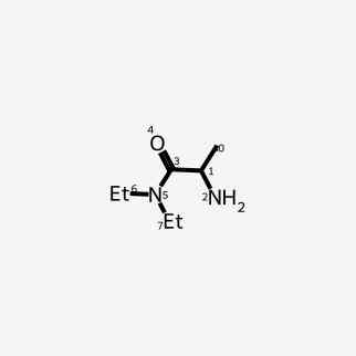 [CH2]C(N)C(=O)N(CC)CC